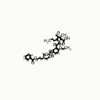 CCCc1c(C=O)c(C)c(C(=O)O)n1NC(=O)c1cc(S(=O)(=O)N2CCN(CCCOC(=O)c3ccccc3)CC2)ccc1OCC